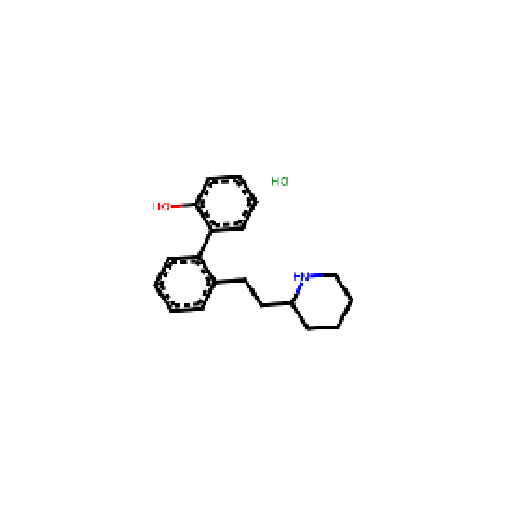 Cl.Oc1ccccc1-c1ccccc1CCC1CCCCN1